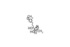 COc1ccc(CCCC(O)C(C#N)(CO)NC(C)=O)cc1